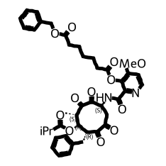 COc1ccnc(C(=O)N[C@H]2CC(=O)C(=O)[C@H](Cc3ccccc3)[C@H](OC(=O)C(C)C)[C@H](C)C(=O)C2=O)c1OC(=O)CCCCCC(=O)OCc1ccccc1